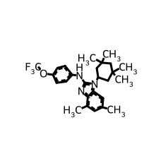 Cc1cc(C)c2nc(Nc3ccc(OC(F)(F)F)cc3)n(C3CC(C)(C)CC(C)(C)C3)c2c1